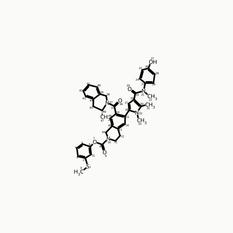 CSc1cccc(OC(=O)N2CCc3cc(-c4cc(C(=O)N(C)c5ccc(O)cc5)c(C)n4C)c(C(=O)N4Cc5ccccc5C[C@H]4C)cc3C2)c1